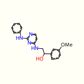 COc1cccc(C(O)CNc2ccnc(Nc3ccccc3)n2)c1